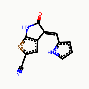 N#Cc1cc2c(s1)NC(=O)/C2=C/c1ccc[nH]1